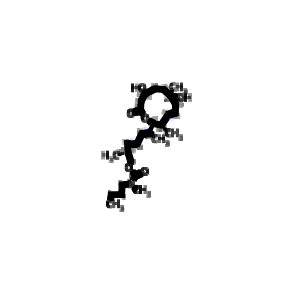 CCCCN(C)C(=O)OC[C@H](C)/C=C/C=C(\C)[C@H]1OC(=O)C[C@H](O)CC[C@@](C)(O)C/C=C/[C@@H]1C